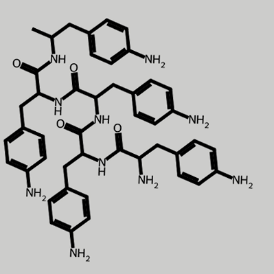 CC(Cc1ccc(N)cc1)NC(=O)C(Cc1ccc(N)cc1)NC(=O)C(Cc1ccc(N)cc1)NC(=O)C(Cc1ccc(N)cc1)NC(=O)C(N)Cc1ccc(N)cc1